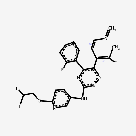 C=N/C=C\C(=C(/C)F)c1nnc(Nc2ccc(OCC(F)F)nc2)nc1-c1ccccc1F